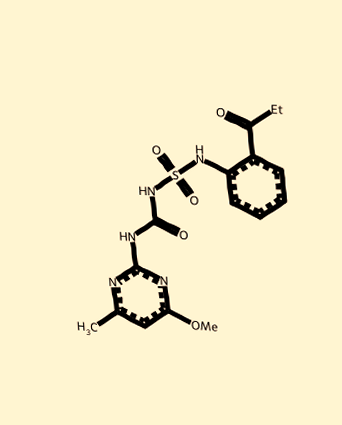 CCC(=O)c1ccccc1NS(=O)(=O)NC(=O)Nc1nc(C)cc(OC)n1